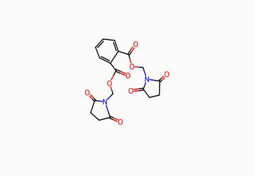 O=C(OCN1C(=O)CCC1=O)c1ccccc1C(=O)OCN1C(=O)CCC1=O